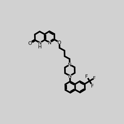 O=C1CCc2ccc(OCCCCN3CCN(c4cccc5ccc(C(F)(F)F)cc45)CC3)nc2N1